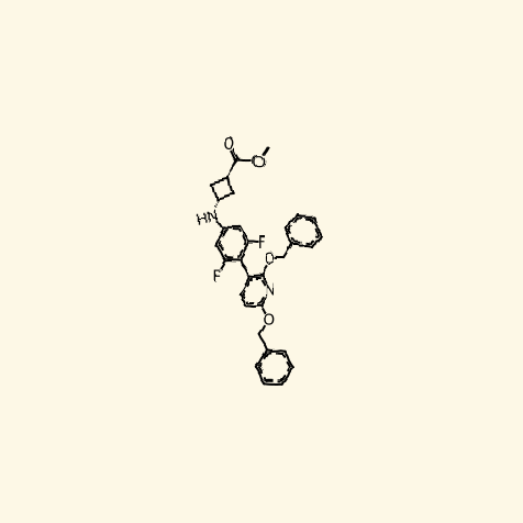 COC(=O)[C@H]1C[C@H](Nc2cc(F)c(-c3ccc(OCc4ccccc4)nc3OCc3ccccc3)c(F)c2)C1